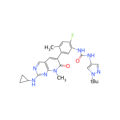 Cc1cc(F)c(NC(=O)Nc2cnn(C(C)(C)C)c2)cc1-c1cc2cnc(NC3CC3)nc2n(C)c1=O